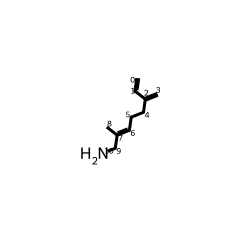 C=CC(=C)CC/C=C(\C)CN